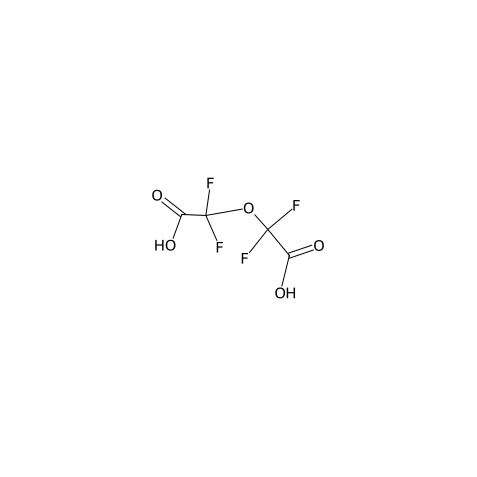 O=C(O)C(F)(F)OC(F)(F)C(=O)O